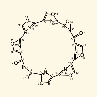 O=c1[nH]c(=O)c2nc(co2)c2nc(co2)c2nc(co2)c(=O)[nH]c(=O)c2nc(co2)c2nc(co2)c2nc1co2